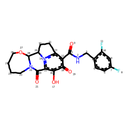 O=C(NCc1ccc(F)cc1F)c1c2n3c(c(O)c1=O)C(=O)N1CCCCOC1C3CC2